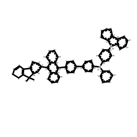 CC1(C)C2=C(C=CCC2)c2ccc(-c3c4ccccc4c(-c4ccc(-c5ccc(N(c6ccccc6)c6ccc(-n7c8ccccc8c8ccccc87)cc6)cc5)cc4)c4ccccc34)cc21